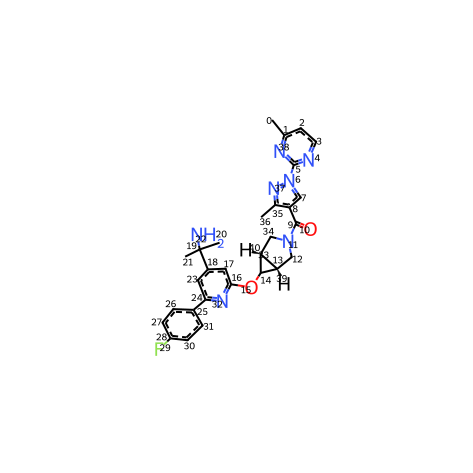 Cc1ccnc(-n2cc(C(=O)N3C[C@@H]4C(Oc5cc(C(C)(C)N)cc(-c6ccc(F)cc6)n5)[C@@H]4C3)c(C)n2)n1